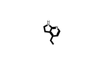 CCc1ccnc2c1CCN2